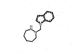 c1ccc2c(c1)ccn2CN1CCCCCN1